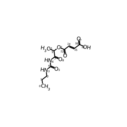 CCCNC(=O)NC(=O)C(C)OC(=O)/C=C/C(=O)O